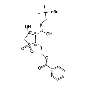 CCCCC(C)(C)CC=C(O)[C@H]1[C@@H](O)CS(=O)(=O)[C@H]1CCOC(=O)c1ccccc1